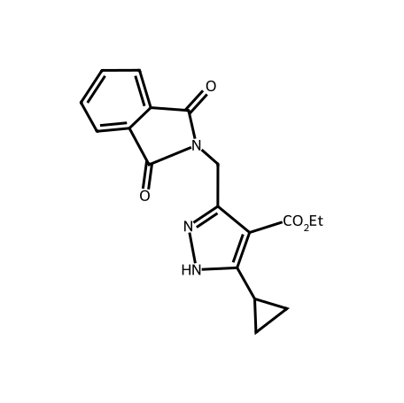 CCOC(=O)c1c(CN2C(=O)c3ccccc3C2=O)n[nH]c1C1CC1